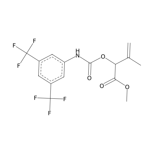 C=C(C)C(OC(=O)Nc1cc(C(F)(F)F)cc(C(F)(F)F)c1)C(=O)OC